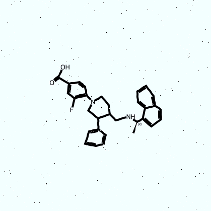 C[C@@H](NCC1CCN(c2ccc(C(=O)O)cc2F)CC1c1ccccc1)c1cccc2ccccc12